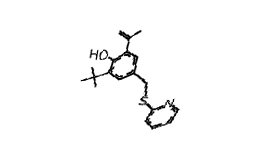 C=C(C)c1cc(CSc2ccccn2)cc(C(C)(C)C)c1O